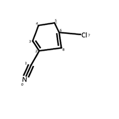 N#CC1=CC[CH]C(Cl)=C1